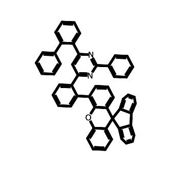 c1ccc(-c2nc(-c3ccccc3-c3ccccc3)cc(-c3ccccc3-c3cccc4c3Oc3ccccc3C43c4ccccc4-c4ccccc43)n2)cc1